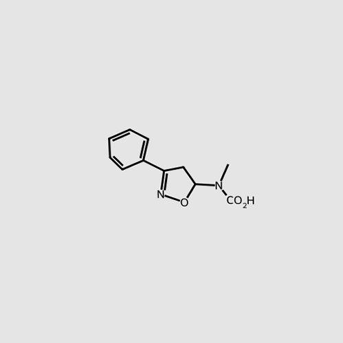 CN(C(=O)O)C1CC(c2ccccc2)=NO1